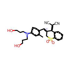 Cc1cc(N(CCCO)CCCO)ccc1/C=C1\CS(=O)(=O)c2ccccc2C1=C(C#N)C#N